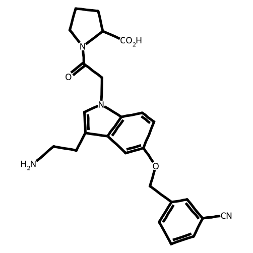 N#Cc1cccc(COc2ccc3c(c2)c(CCN)cn3CC(=O)N2CCCC2C(=O)O)c1